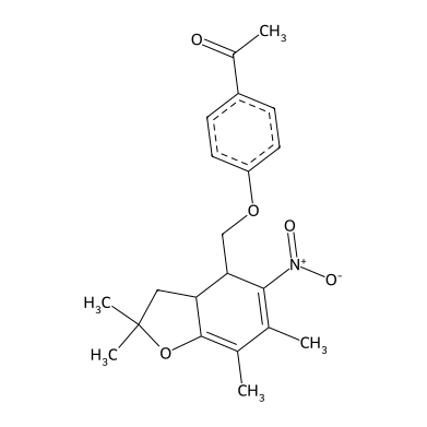 CC(=O)c1ccc(OCC2C([N+](=O)[O-])=C(C)C(C)=C3OC(C)(C)CC32)cc1